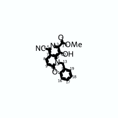 COC(=O)c1nc(C#N)c2ccc(=O)n(Cc3ccccc3)c2c1O